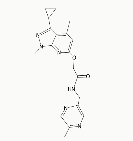 Cc1cnc(CNC(=O)COc2cc(C)c3c(C4CC4)nn(C)c3n2)cn1